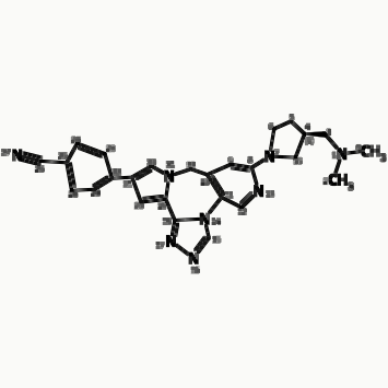 CN(C)C[C@@H]1CCN(c2cc3c(cn2)-n2cnnc2-c2cc(-c4ccc(C#N)cc4)cn2C3)C1